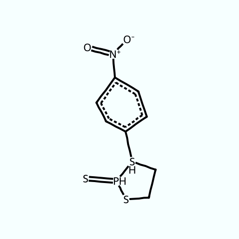 O=[N+]([O-])c1ccc([SH]2CCS[PH]2=S)cc1